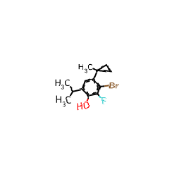 CC(C)c1cc(C2(C)CC2)c(Br)c(F)c1O